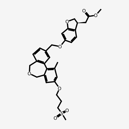 COC(=O)C[C@@H]1COc2cc(OCc3ccc4c(c3)-c3c(C)cc(OCCCS(C)(=O)=O)cc3COC4)ccc21